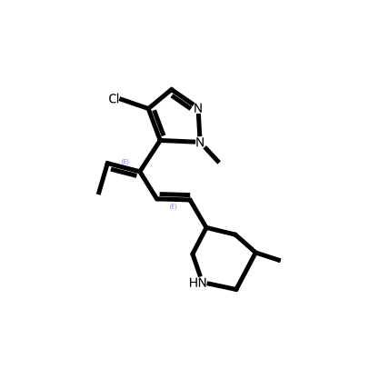 C/C=C(\C=C\C1CNCC(C)C1)c1c(Cl)cnn1C